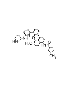 Cc1ccc2c(NC(=O)[C@H]3CCC(C)C3)cccc2c1Oc1ncccc1-c1ccnc(NC2CCCNC2)n1